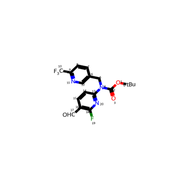 CC(C)(C)OC(=O)N(Cc1ccc(C(F)(F)F)nc1)c1ccc(C=O)c(F)n1